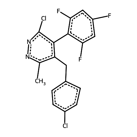 Cc1nnc(Cl)c(-c2c(F)cc(F)cc2F)c1Cc1ccc(Cl)cc1